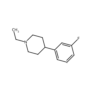 CCN1CCC(c2c[c]cc(F)c2)CC1